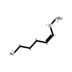 CCCCO/C=C\CCCC(C)=O